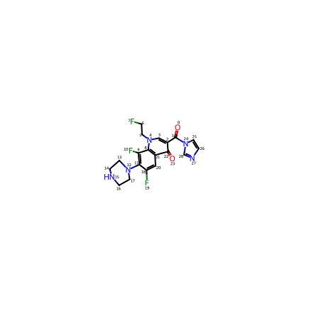 O=C(c1cn(CCF)c2c(F)c(N3CCNCC3)c(F)cc2c1=O)n1ccnc1